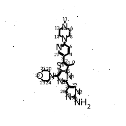 Cc1c(-c2ccc(N3CCN(C)CC3)nc2)sc2c(N3CCOCC3)nc(-c3cnc(N)nc3)nc12